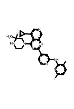 CC1(C)CN(c2nc(-c3ccnc(Nc4nc(F)ccc4F)c3)nc3cncc(C4CC4)c23)CCN1